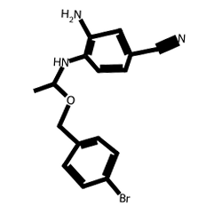 CC(Nc1ccc(C#N)cc1N)OCc1ccc(Br)cc1